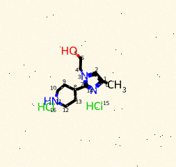 Cc1cn(CCO)c(C2CCNCC2)n1.Cl.Cl